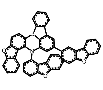 c1ccc2c(c1)B1c3ccc4oc5ccccc5c4c3N(c3cccc4oc5ccccc5c34)c3cc(-c4ccc5oc6ccccc6c5c4)cc-2c31